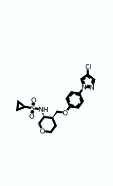 O=S(=O)(N[C@H]1COCC[C@@H]1COc1ccc(-n2cc(Cl)cn2)cc1)C1CC1